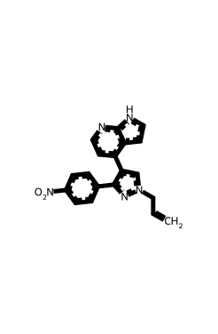 C=CCn1cc(-c2ccnc3[nH]ccc23)c(-c2ccc([N+](=O)[O-])cc2)n1